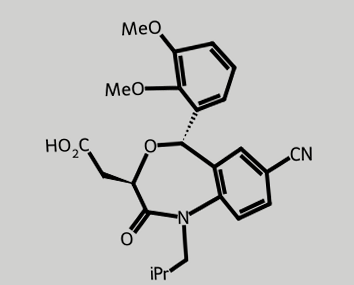 COc1cccc([C@H]2O[C@H](CC(=O)O)C(=O)N(CC(C)C)c3ccc(C#N)cc32)c1OC